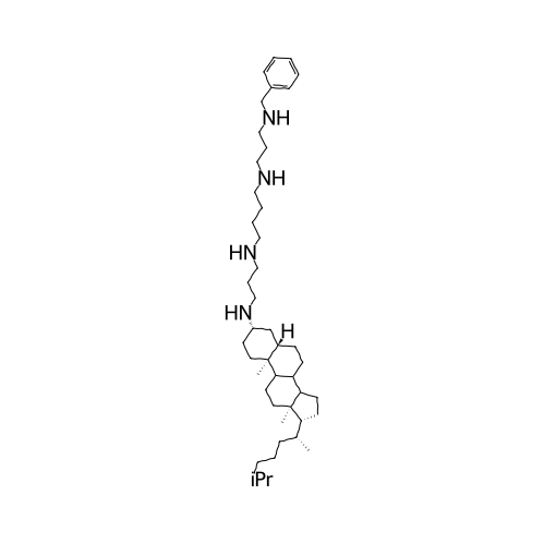 CC(C)CCC[C@@H](C)[C@H]1CCC2C3CC[C@H]4C[C@@H](NCCCNCCCCNCCCNCc5ccccc5)CC[C@]4(C)C3CC[C@@]21C